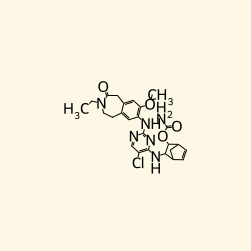 CCN1CCc2cc(Nc3ncc(Cl)c(NC4C5C=CC(C5)C4OC(N)=O)n3)c(OC)cc2CC1=O